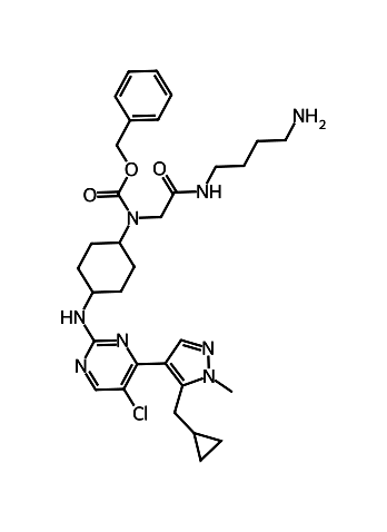 Cn1ncc(-c2nc(NC3CCC(N(CC(=O)NCCCCN)C(=O)OCc4ccccc4)CC3)ncc2Cl)c1CC1CC1